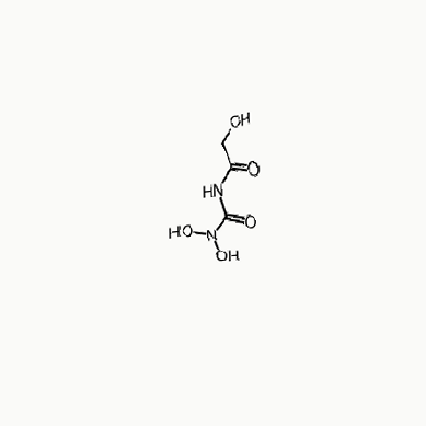 O=C(CO)NC(=O)N(O)O